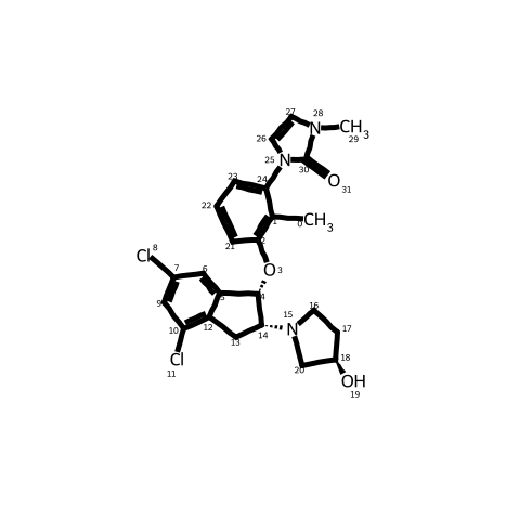 Cc1c(O[C@H]2c3cc(Cl)cc(Cl)c3C[C@H]2N2CC[C@@H](O)C2)cccc1-n1ccn(C)c1=O